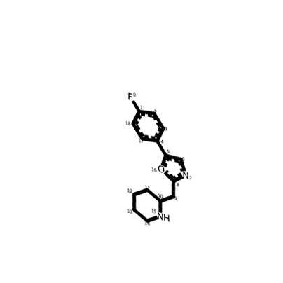 Fc1ccc(-c2cnc(CC3CCCCN3)o2)cc1